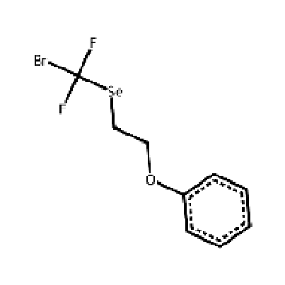 FC(F)(Br)[Se]CCOc1ccccc1